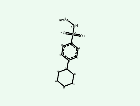 CCCCCNS(=O)(=O)c1ccc(C2CCCCC2)cc1